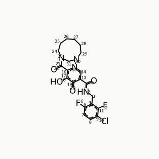 O=C(NCc1c(F)ccc(Cl)c1F)c1cn2c(c(O)c1=O)C(=O)N1CCCCCCN2C1